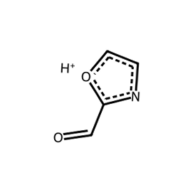 O=Cc1ncco1.[H+]